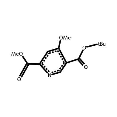 COC(=O)c1cc(OC)c(C(=O)OC(C)(C)C)cn1